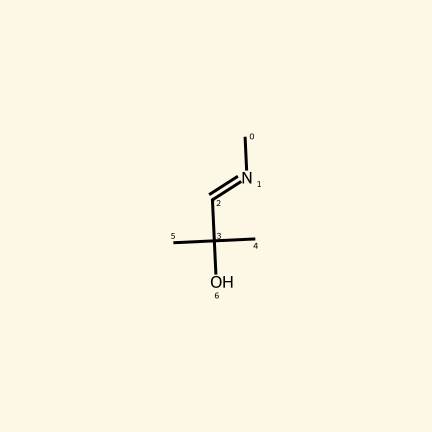 CN=CC(C)(C)O